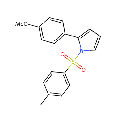 COc1ccc(-c2cccn2S(=O)(=O)c2ccc(C)cc2)cc1